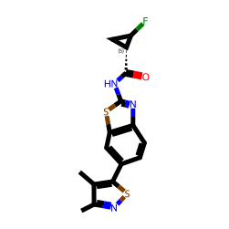 Cc1nsc(-c2ccc3nc(NC(=O)[C@@H]4CC4F)sc3c2)c1C